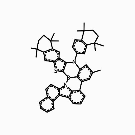 Cc1cc2c3c(c1)N(c1ccc4c(c1)C(C)(C)CCC4(C)C)c1c(sc4cc5c(cc14)C(C)(C)CCC5(C)C)B3n1c3ccc4ccccc4c3c3cccc-2c31